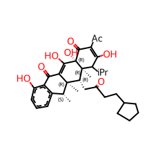 CC(=O)C1=C(O)C(C(C)C)[C@@]2(C)[C@H](CC(=O)CCC3CCCC3)[C@]3(C)C(=C(O)[C@@]2(O)C1=O)C(=O)c1c(O)cccc1[C@H]3C